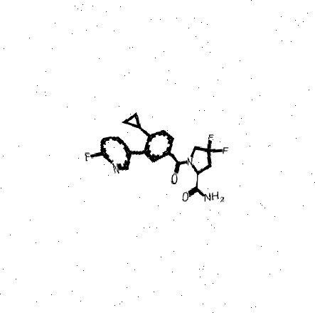 NC(=O)[C@@H]1CC(F)(F)CN1C(=O)c1ccc(C2CC2)c(-c2ccc(F)nc2)c1